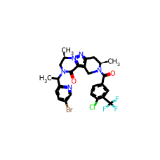 CC(c1ccc(Br)cn1)N1C[C@@H](C)n2nc3c(c2C1=O)CN(C(=O)c1ccc(Cl)c(C(F)(F)F)c1)[C@H](C)C3